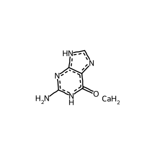 Nc1nc2[nH]cnc2c(=O)[nH]1.[CaH2]